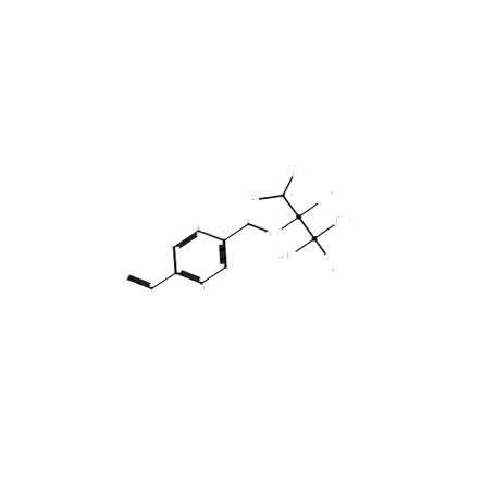 C=Cc1ccc(COC(F)(C(F)F)C(F)(F)F)cc1